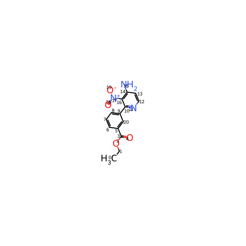 CCOC(=O)c1cccc(-c2nccc(N)c2[N+](=O)[O-])c1